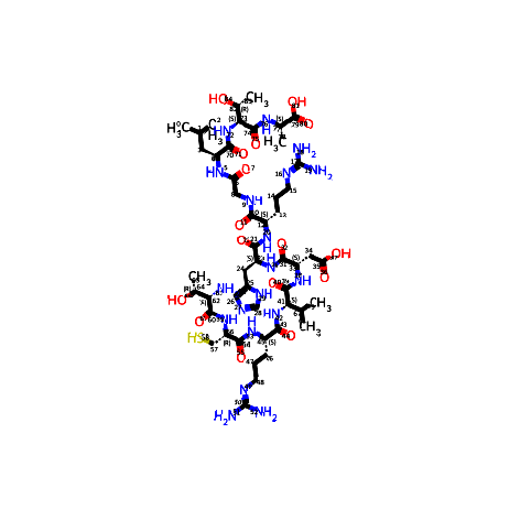 CC(C)C[C@H](NC(=O)CNC(=O)[C@H](CCCN=C(N)N)NC(=O)[C@H](Cc1cnc[nH]1)NC(=O)[C@H](CC(=O)O)NC(=O)[C@@H](NC(=O)[C@H](CCCN=C(N)N)NC(=O)[C@H](CS)NC(=O)[C@@H](N)[C@@H](C)O)C(C)C)C(=O)N[C@H](C(=O)N[C@@H](C)C(=O)O)[C@@H](C)O